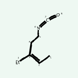 CC=C(CC)CCN=C=O